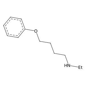 CCNCCCCOc1ccccc1